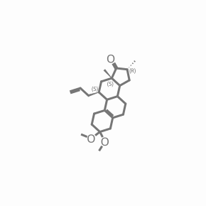 C=CC[C@H]1C[C@]2(C)C(=O)[C@H](C)CC2C2CCC3=C(CCC(OC)(OC)C3)C21